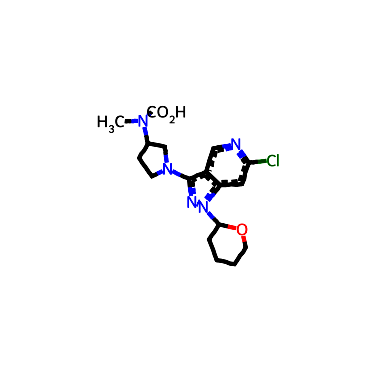 CN(C(=O)O)C1CCN(c2nn(C3CCCCO3)c3cc(Cl)ncc23)C1